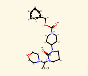 O=CC(N1CCOCC1)N1CCCN(C2CCN(C(=O)OCc3ccccc3)CC2)C1=O